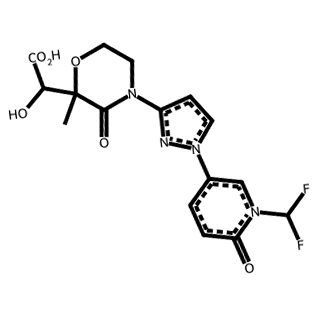 CC1(C(O)C(=O)O)OCCN(c2ccn(-c3ccc(=O)n(C(F)F)c3)n2)C1=O